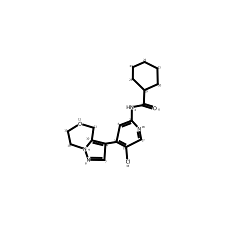 O=C(Nc1cc(-c2cnn3c2COCC3)c(Cl)cn1)C1CCCCC1